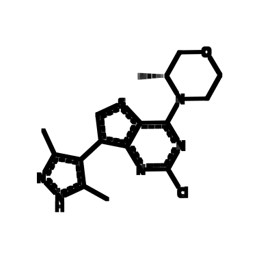 Cc1n[nH]c(C)c1-c1csc2c(N3CCOC[C@H]3C)nc(Cl)nc12